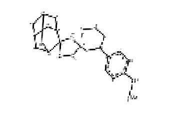 CCCCOc1ccc(C2CCC[C@]3(C2)OOC2(O3)C3CC4CC(C3)CC2C4)cc1